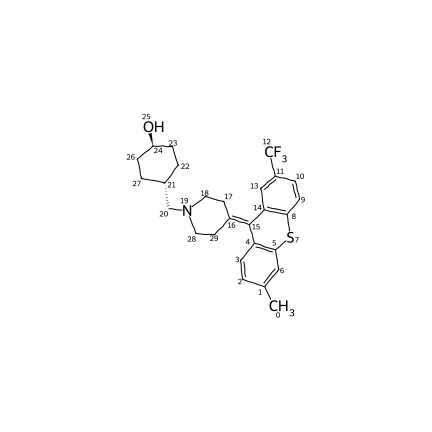 Cc1ccc2c(c1)Sc1ccc(C(F)(F)F)cc1C2=C1CCN(C[C@H]2CC[C@H](O)CC2)CC1